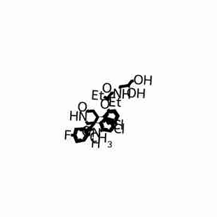 CCC(CC)(Oc1ccc(Cl)cc1[C@H]1CC(=O)N[C@@H](c2cc(F)ccc2C)[C@]12C(=O)Nc1cc(Cl)ccc12)C(=O)NC[C@H](O)CO